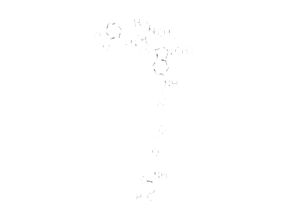 C=CC(=O)NCCOCCOCCOCCNc1ccc2c([C@H]3CN(Cc4cccc5c4OCO5)C[C@@H]3N(C)C)cn(C)c2c1